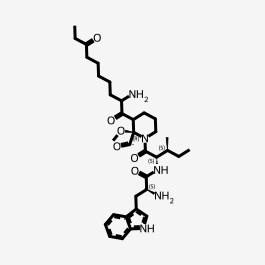 CCC(=O)CCCCCC(N)C(=O)C1CCCN(C(=O)[C@@H](NC(=O)[C@@H](N)Cc2c[nH]c3ccccc23)[C@@H](C)CC)[C@@]1([C]=O)OC